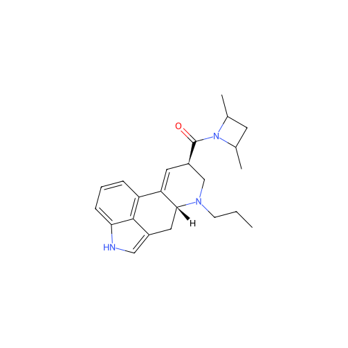 CCCN1C[C@H](C(=O)N2C(C)CC2C)C=C2c3cccc4[nH]cc(c34)C[C@H]21